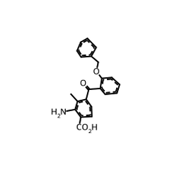 Cc1c(C(=O)c2ccccc2OCc2ccccc2)ccc(C(=O)O)c1N